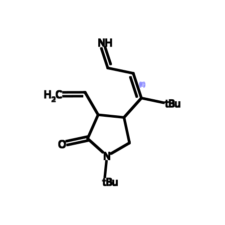 C=CC1C(=O)N(C(C)(C)C)CC1/C(=C\C=N)C(C)(C)C